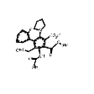 CC(C)(C)OC(=O)c1c(NC(N)=O)c(CC=O)c(-c2ccccc2F)c(N2CCCC2)c1C(=O)O